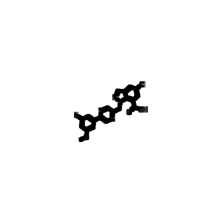 COc1cc(F)cc(-c2cnc(Cn3ncc4cc(Cl)cc(C(=O)O)c43)cn2)c1